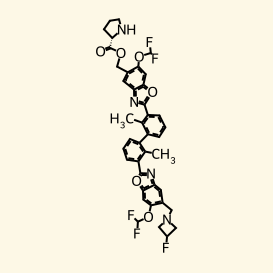 Cc1c(-c2nc3cc(COC(=O)[C@@H]4CCCN4)c(OC(F)F)cc3o2)cccc1-c1cccc(-c2nc3cc(CN4CC(F)C4)c(OC(F)F)cc3o2)c1C